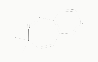 CC1(C)C=Cc2cnccc2C=N1